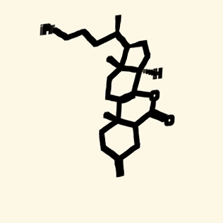 C=C1CC[C@]2(C)C3=C(OC(=O)C2C1)[C@@H]1CC[C@H]([C@H](C)CCCC(C)C)[C@@]1(C)CC3